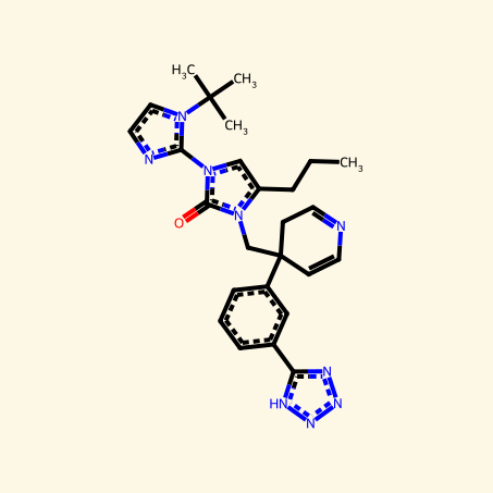 CCCc1cn(-c2nccn2C(C)(C)C)c(=O)n1CC1(c2cccc(-c3nnn[nH]3)c2)C=CN=CC1